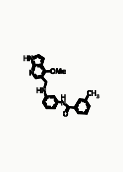 COc1c(CNc2cccc(NC(=O)c3cccc(C)c3)c2)cnc2[nH]ccc12